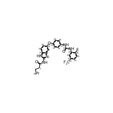 CC(C)CCC(=O)Nc1nc2cc(Oc3ccc(NC(=O)Nc4cc(C(F)(F)F)ccc4F)cc3)ccc2[nH]1